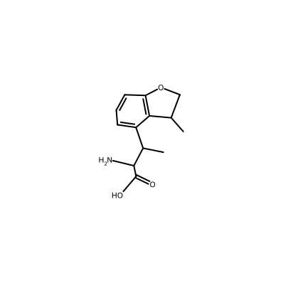 CC1COc2cccc(C(C)C(N)C(=O)O)c21